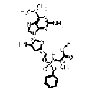 CC(C)OC(=O)[C@H](C)NP(=O)(OC[C@@H]1CC(=N)[C@H](n2cnc3c(N(C)C)nc(N)nc32)O1)Oc1ccccc1